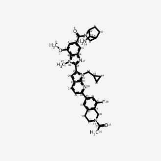 COc1cc(C(=O)N2CC3CCC2C3N)cc2nc(-c3cc4ccc(-c5cc(F)c6c(c5)CCN(C(C)=O)C6)nc4n3CC3CC3)n(C)c12